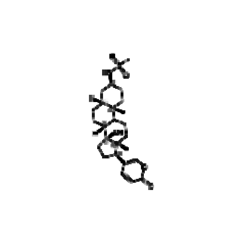 C[C@]12CC[C@H](NS(C)(=O)=O)C[C@H]1CC[C@@H]1C2CC[C@]2(C)[C@@H](c3ccc(=O)oc3)CC[C@]12O